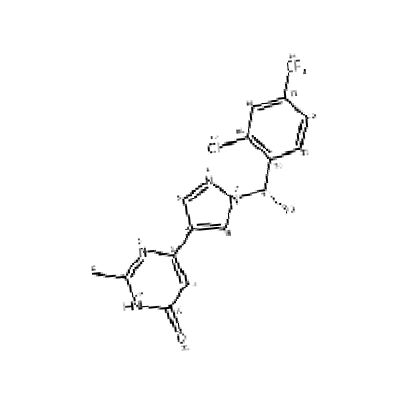 Cc1nc(-c2cnn([C@@H](C)c3ccc(C(F)(F)F)cc3Cl)c2)cc(=O)[nH]1